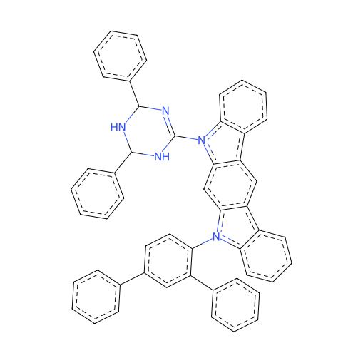 c1ccc(-c2ccc(-n3c4ccccc4c4cc5c6ccccc6n(C6=NC(c7ccccc7)NC(c7ccccc7)N6)c5cc43)c(-c3ccccc3)c2)cc1